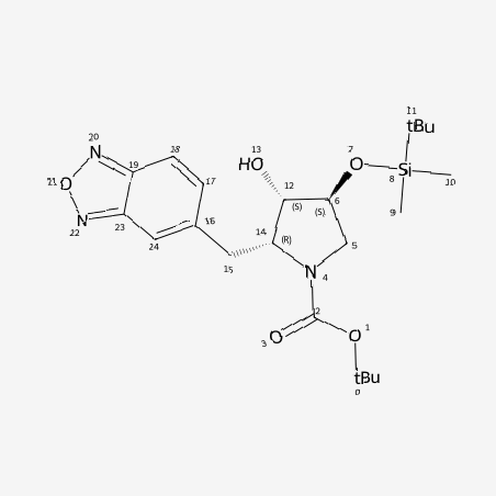 CC(C)(C)OC(=O)N1C[C@H](O[Si](C)(C)C(C)(C)C)[C@@H](O)[C@H]1Cc1ccc2nonc2c1